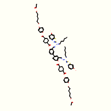 C=CC(=O)OCCCCCCOc1ccc(OC(=O)C2CCC(C(=O)Oc3ccc(-c4ccc(OC(=O)C5CCC(C(=O)Oc6ccc(OCCCCCCOC(=O)C=C)cc6)CC5)c(/C=N/N(CCCCCC)c5nc6ccc(OC)cc6s5)c4)cc3/C=N/N(CCCCCC)c3nc4ccc(OC)cc4s3)CC2)cc1